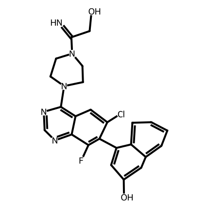 N=C(CO)N1CCN(c2ncnc3c(F)c(-c4cc(O)cc5ccccc45)c(Cl)cc23)CC1